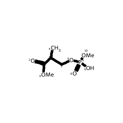 COC(=O)C(C)COP(=O)(O)OC